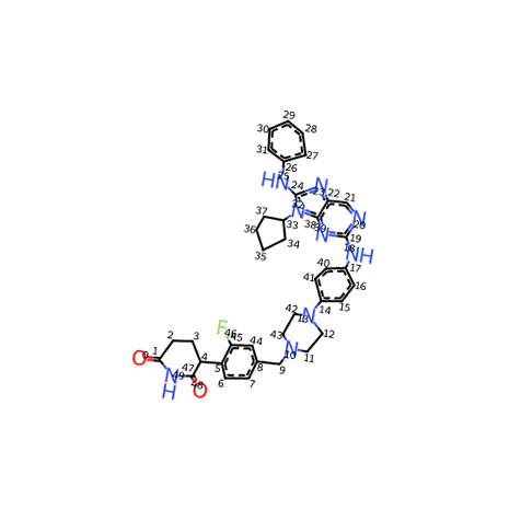 O=C1CCC(c2ccc(CN3CCN(c4ccc(Nc5ncc6nc(Nc7ccccc7)n(C7CCCC7)c6n5)cc4)CC3)cc2F)C(=O)N1